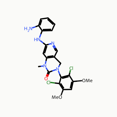 COc1cc(OC)c(Cl)c(N2Cc3cnc(Nc4ccccc4N)cc3N(C)C2=O)c1Cl